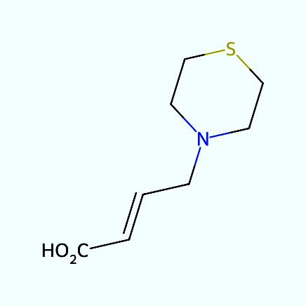 O=C(O)/C=C/CN1CCSCC1